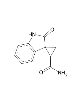 NC(=O)C1CC12C(=O)Nc1ccccc12